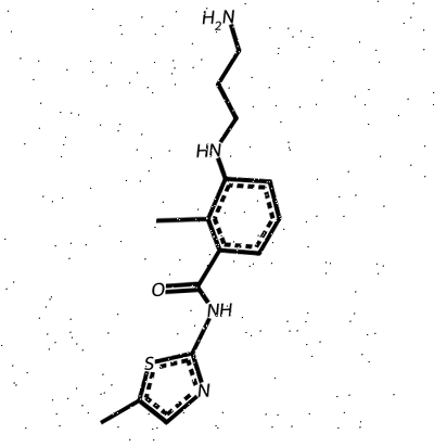 Cc1cnc(NC(=O)c2cccc(NCCCN)c2C)s1